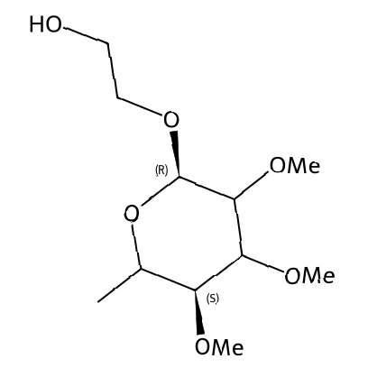 COC1C(OC)[C@@H](OC)C(C)O[C@H]1OCCO